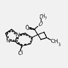 COC(=O)C1(c2cc(Cl)c3nccn3c2)CC(C)C1